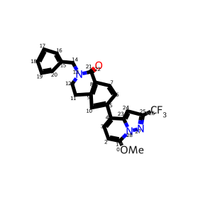 COc1ccc(-c2ccc3c(c2)CCN(Cc2ccccc2)C3=O)c2cc(C(F)(F)F)nn12